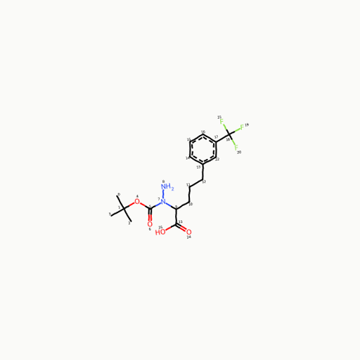 CC(C)(C)OC(=O)N(N)C(CCCc1cccc(C(F)(F)F)c1)C(=O)O